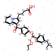 CCOC[C@H](Oc1ccc(C(=O)c2cc(CCCC(=O)O)n3ccccc23)cc1)c1ccc(CC(C)C)cc1